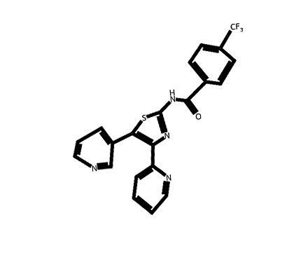 O=C(Nc1nc(-c2ccccn2)c(-c2cccnc2)s1)c1ccc(C(F)(F)F)cc1